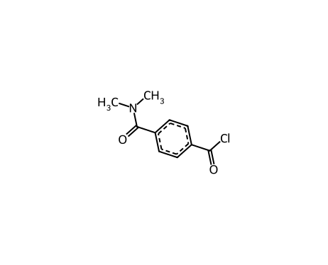 CN(C)C(=O)c1ccc(C(=O)Cl)cc1